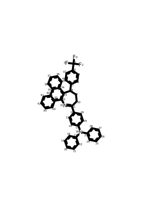 FC(F)(F)c1ccc(C2CCC(c3ccc(N(c4ccccc4)c4ccccc4)cc3)=Nc3c2c2ccccc2c2ccccc32)cc1